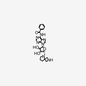 O=C(Nc1ncnc2c1ncn2[C@@H]1O[C@H](CN2CCCC23CNC3)[C@@H](O)[C@H]1O)c1ccccc1